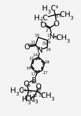 CN(C(=O)OC(C)(C)C)[C@H]1CC(=O)N(c2ccc(B3OC(C)(C)C(C)(C)O3)cc2)C1